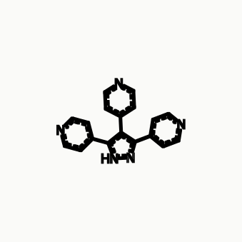 c1cc(-c2n[nH]c(-c3ccncc3)c2-c2ccncc2)ccn1